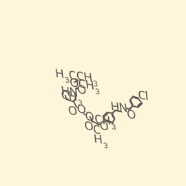 CCC(CNC(=O)OC(C)(C)C)C(=O)OCOC(=O)C(C)(C)Oc1ccc(CCNC(=O)c2ccc(Cl)cc2)cc1